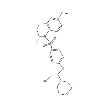 CCc1ccc2c(c1)CC[C@@H](C)N2S(=O)(=O)c1ccc(O[C@@H](CO)C2CCOCC2)cc1